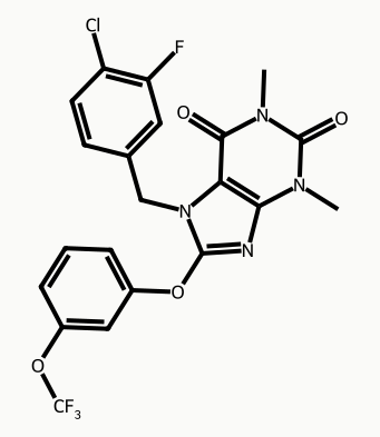 Cn1c(=O)c2c(nc(Oc3cccc(OC(F)(F)F)c3)n2Cc2ccc(Cl)c(F)c2)n(C)c1=O